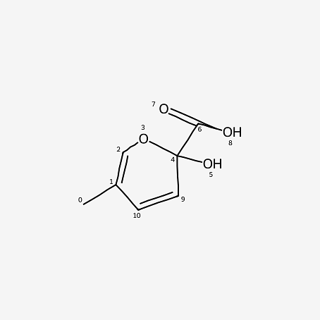 CC1=COC(O)(C(=O)O)C=C1